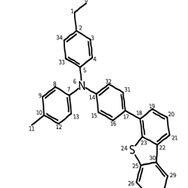 CCc1ccc(N(c2ccc(C)cc2)c2ccc(-c3cccc4c3sc3ccccc34)cc2)cc1